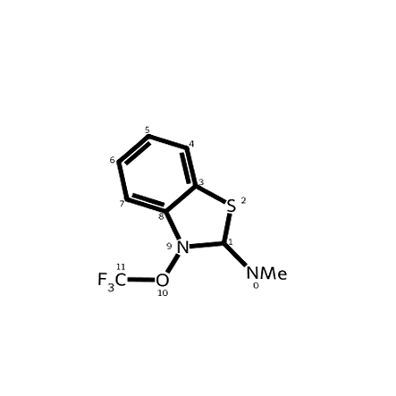 CNC1Sc2ccccc2N1OC(F)(F)F